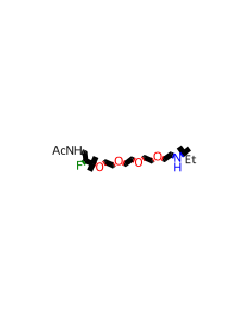 CCC(C)(C)NCCOCCOCCOCCOC(C)(C)C(F)CNC(C)=O